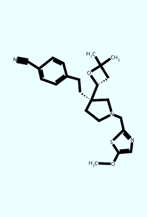 COc1cnc(CN2CC[C@@](CCc3ccc(C#N)cc3)([C@H]3CC(C)(C)O3)C2)s1